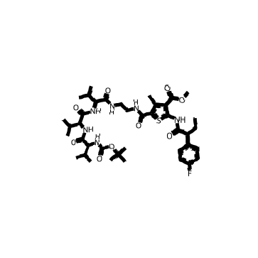 CCC(C(=O)Nc1sc(C(=O)NCCNC(=O)C(NC(=O)C(NC(=O)C(NC(=O)OC(C)(C)C)C(C)C)C(C)C)C(C)C)c(C)c1C(=O)OC)c1ccc(F)cc1